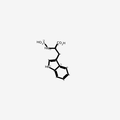 O=C(O)C(Cc1c[nH]c2ccccc12)NS(=O)(=O)O